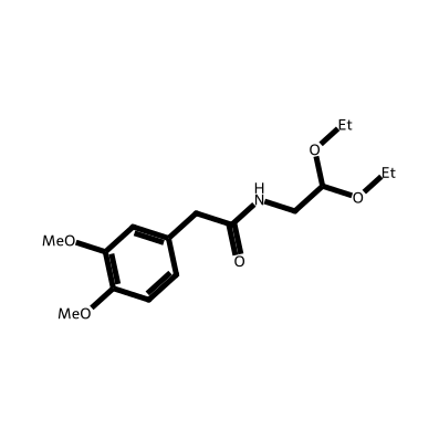 CCOC(CNC(=O)Cc1ccc(OC)c(OC)c1)OCC